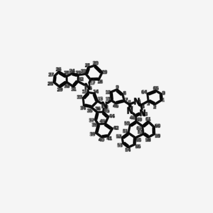 c1ccc(-c2nc(-c3cccc(-n4c5cc(-n6c7ccccc7c7cc8ccccc8cc76)ccc5c5cc6ccccc6cc54)c3)nc(-c3cc4ccccc4c4ccccc34)n2)cc1